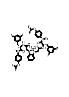 CCN(C(=O)[C@H](Cc1cc(F)cc(F)c1)NC(=O)CN1c2ccccc2N(CC(=O)N[C@@H](Cc2cc(F)cc(F)c2)C(=O)N(CC)c2ccc(OC(F)F)cc2)S1(=O)=O)c1ccc(OC(F)F)cc1